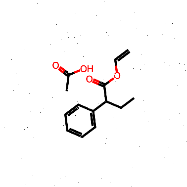 C=COC(=O)C(CC)c1ccccc1.CC(=O)O